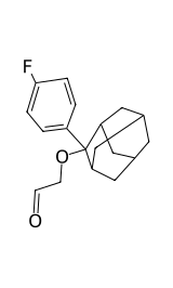 O=CCOC1(c2ccc(F)cc2)C2CC3CC(C2)CC1C3